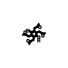 CCc1c(CC2CO2)c(CC2CO2)c(O)c(CC2CO2)c1CC1CO1